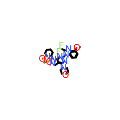 COc1cccc2c1nc(C(F)F)n2-c1nc(N2CCOCC2)c2cnn(C3CCCCN3S(C)(=O)=O)c2n1